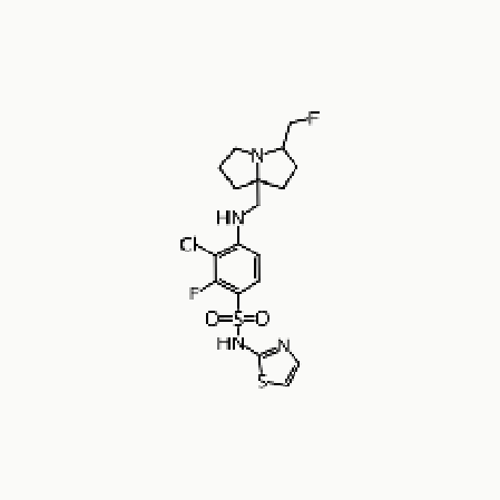 O=S(=O)(Nc1nccs1)c1ccc(NCC23CCCN2C(CF)CC3)c(Cl)c1F